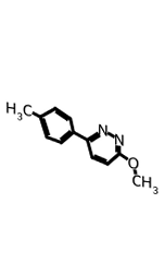 COc1ccc(-c2ccc(C)cc2)nn1